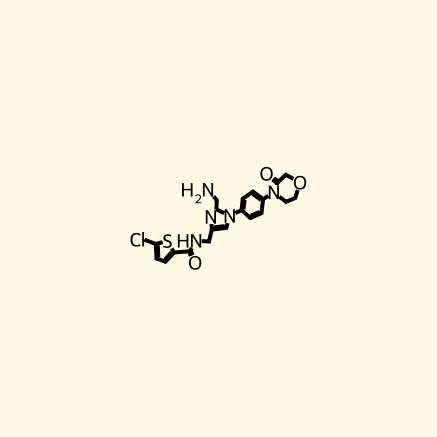 NCc1nc(CNC(=O)c2ccc(Cl)s2)cn1-c1ccc(N2CCOCC2=O)cc1